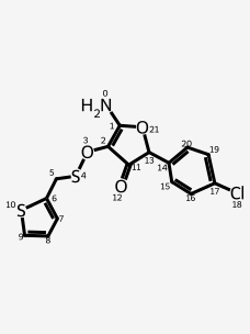 NC1=C(OSCc2cccs2)C(=O)C(c2ccc(Cl)cc2)O1